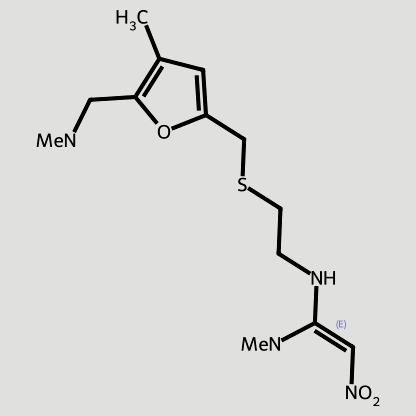 CNCc1oc(CSCCN/C(=C/[N+](=O)[O-])NC)cc1C